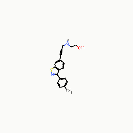 CN(CC#Cc1ccc2c(-c3ccc(C(F)(F)F)cc3)nsc2c1)CCO